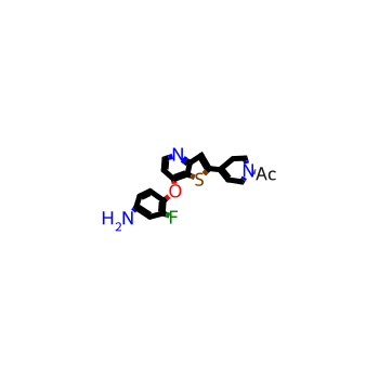 CC(=O)N1CC=C(c2cc3nccc(Oc4ccc(N)cc4F)c3s2)CC1